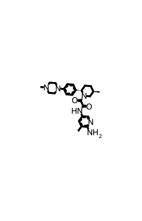 Cc1cc(NC(=O)C(=O)N2C[C@H](C)CC[C@H]2c2ccc(N3CCN(C)CC3)cc2)cnc1N